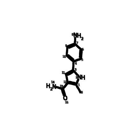 Cc1[nH]c(-c2ccc(N)cc2)cc1C(N)=O